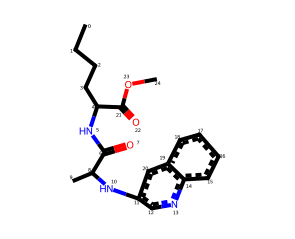 CCCCC(NC(=O)C(C)Nc1cnc2ccccc2c1)C(=O)OC